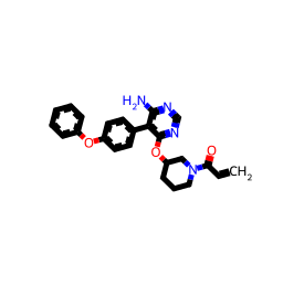 C=CC(=O)N1CCCC(Oc2ncnc(N)c2-c2ccc(Oc3ccccc3)cc2)C1